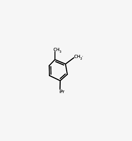 [CH2]c1cc(C(C)C)ccc1C